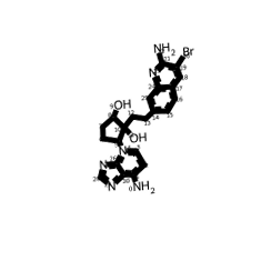 Nc1ccn(C2CCC(O)C2(O)CCc2ccc3cc(Br)c(N)nc3c2)c2ncnc1-2